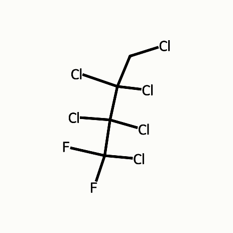 FC(F)(Cl)C(Cl)(Cl)C(Cl)(Cl)CCl